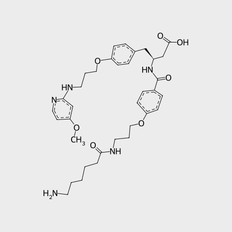 COc1ccnc(NCCCOc2ccc(C[C@@H](CC(=O)O)NC(=O)c3ccc(OCCCNC(=O)CCCCCN)cc3)cc2)c1